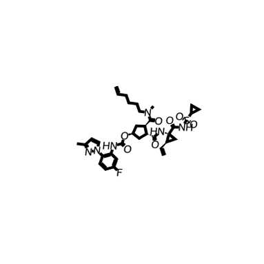 C=CCCCCN(C)C(=O)[C@@H]1C[C@H](OC(=O)Nc2cc(F)ccc2-n2ccc(C)n2)C[C@H]1C(=O)N[C@]1(C(=O)NS(=O)(=O)C2CC2)C[C@H]1C=C